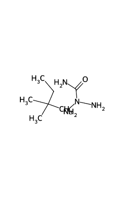 CCC(C)(C)C.NC(=O)N(N)N